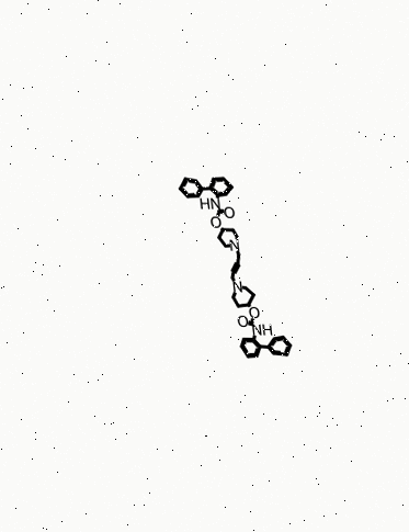 O=C(Nc1ccccc1-c1ccccc1)OC1CCN(CC#CCN2CCC(OC(=O)Nc3ccccc3-c3ccccc3)CC2)CC1